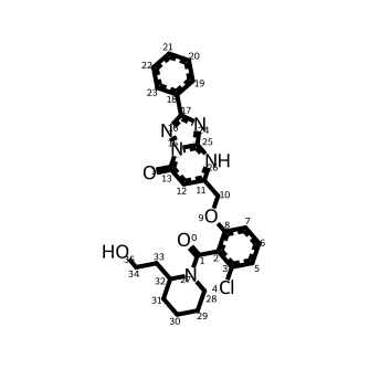 O=C(c1c(Cl)cccc1OCc1cc(=O)n2nc(-c3ccccc3)nc2[nH]1)N1CCCCC1CCO